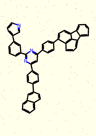 c1cncc(-c2cccc(-c3nc(-c4ccc(-c5ccc6ccccc6c5)cc4)cc(-c4ccc(-c5ccc6c7c(cccc57)-c5ccccc5-6)cc4)n3)c2)c1